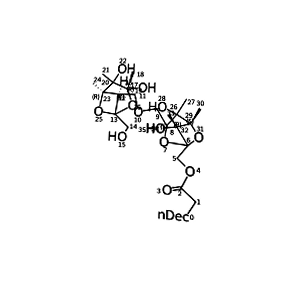 CCCCCCCCCCCC(=O)OCC12O[C@@H](COC[C@H]3C4(CO)O[C@@](C)(O)C(C)(O)[C@]3(C)O4)C(C)(O)[C@](C)(O1)[C@@]2(C)O